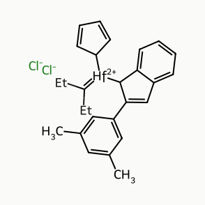 CC[C](CC)=[Hf+2]([CH]1C=CC=C1)[CH]1C(c2cc(C)cc(C)c2)=Cc2ccccc21.[Cl-].[Cl-]